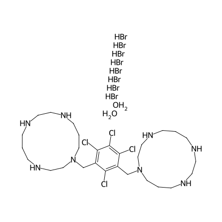 Br.Br.Br.Br.Br.Br.Br.Br.Clc1c(Cl)c(CN2CCCNCCNCCCNCC2)c(Cl)c(CN2CCCNCCNCCCNCC2)c1Cl.O.O